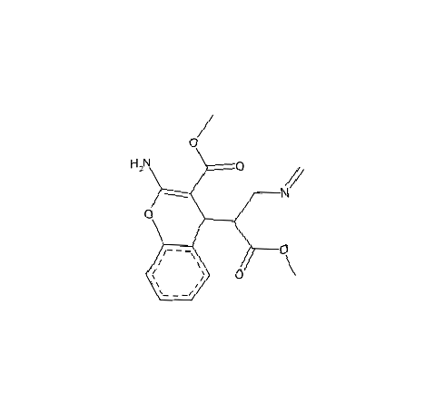 C=NCC(C(=O)OC)C1C(C(=O)OC)=C(N)Oc2ccccc21